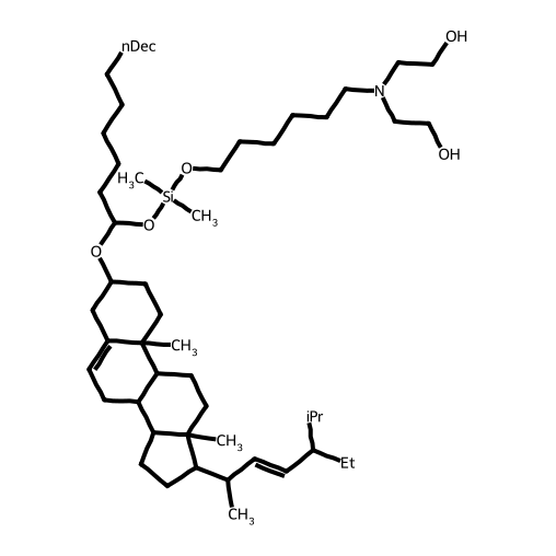 CCCCCCCCCCCCCCCC(OC1CCC2(C)C(=CCC3C2CCC2(C)C(C(C)/C=C/C(CC)C(C)C)CCC32)C1)O[Si](C)(C)OCCCCCCN(CCO)CCO